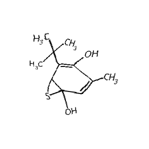 CC1=CC2(O)SC2C(C(C)(C)C)=C1O